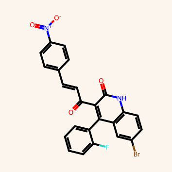 O=C(C=Cc1ccc([N+](=O)[O-])cc1)c1c(-c2ccccc2F)c2cc(Br)ccc2[nH]c1=O